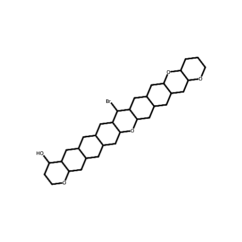 OC1CCOC2CC3CC4CC5OC6CC7CC8CC9OCCCC9OC8CC7CC6C(Br)C5CC4CC3CC12